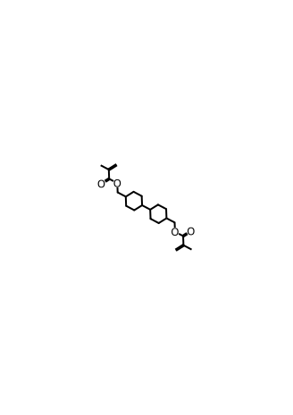 C=C(C)C(=O)OCC1CCC(C2CCC(COC(=O)C(=C)C)CC2)CC1